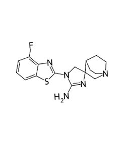 NC1=NC2(CN3CCC2CC3)CN1c1nc2c(F)cccc2s1